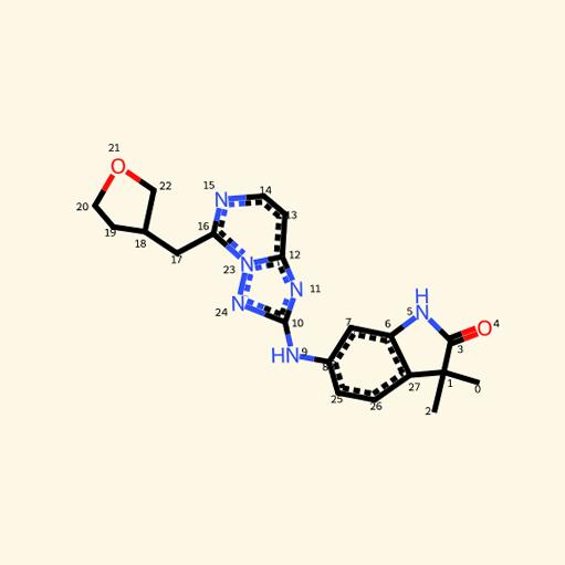 CC1(C)C(=O)Nc2cc(Nc3nc4ccnc(CC5CCOC5)n4n3)ccc21